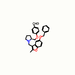 Cc1oc2ccc(OCc3ccccc3)cc2c1CN1CCC[C@H]1COc1ccc(C=O)cc1